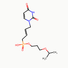 CC(C)OCCCOP(=O)(O)C/C=C/Cn1ccc(=O)[nH]c1=O